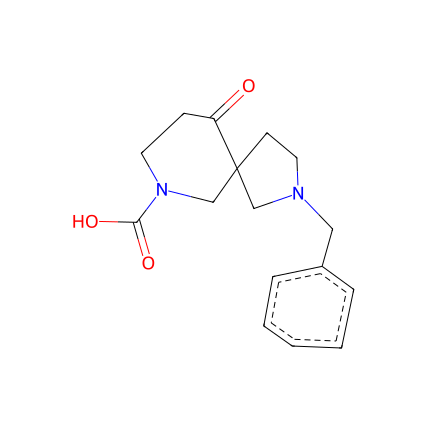 O=C(O)N1CCC(=O)C2(CCN(Cc3ccccc3)C2)C1